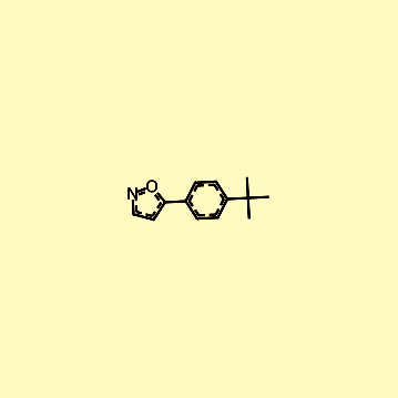 CC(C)(C)c1ccc(-c2ccno2)cc1